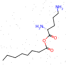 CCCCCCCC(=O)OC(=O)[C@H](N)CCCN